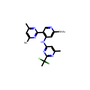 CC(=O)Nc1cc(Nc2cc(C)nc(C(C)(F)F)n2)c(-c2nc(C)cc(C#N)n2)cn1